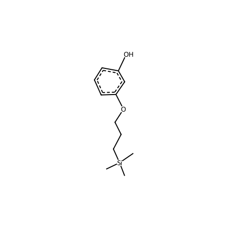 C[Si](C)(C)CCCOc1cccc(O)c1